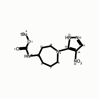 CC(C)(C)OC(=O)NC1CCCN(c2[nH]ncc2[N+](=O)[O-])CC1